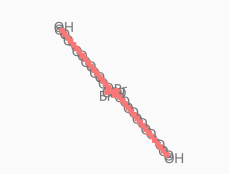 O=C(OCCOCCOCCOCCOCCOCCOCCOCCCCCOCCOCCOO)c1cc(Br)c(C(=O)OCCOCCOCCOCCOCCOCCOCCOCCCCCOCCOCCOO)cc1Br